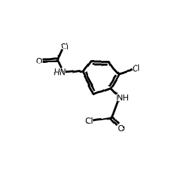 O=C(Cl)Nc1ccc(Cl)c(NC(=O)Cl)c1